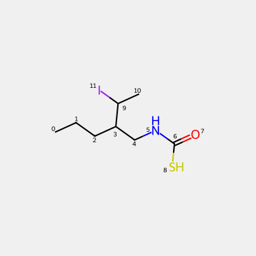 CCCC(CNC(=O)S)C(C)I